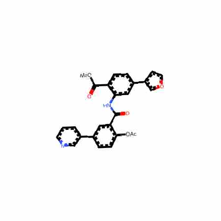 COC(=O)c1ccc(-c2ccoc2)cc1NC(=O)c1cc(-c2cccnc2)ccc1OC(C)=O